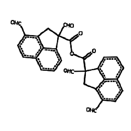 O=Cc1ccc2cccc3c2c1CC3(C=O)C(=O)OC(=O)C1(C=O)Cc2c(C=O)ccc3cccc1c23